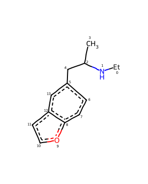 CCNC(C)Cc1ccc2occc2c1